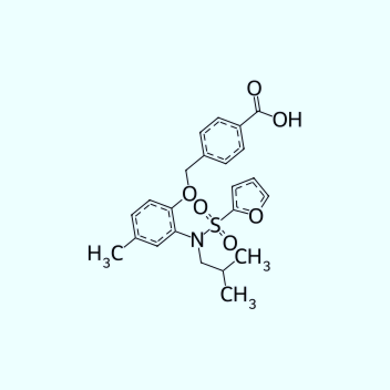 Cc1ccc(OCc2ccc(C(=O)O)cc2)c(N(CC(C)C)S(=O)(=O)c2ccco2)c1